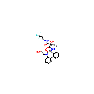 C[C@](O)(C(=O)NCCC(F)(F)F)C(=O)N[C@@H]1C(=O)N(CCO)c2ccccc2-c2ccccc21